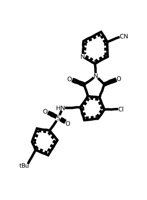 CC(C)(C)c1ccc(S(=O)(=O)Nc2ccc(Cl)c3c2C(=O)N(c2cc(C#N)ccn2)C3=O)cc1